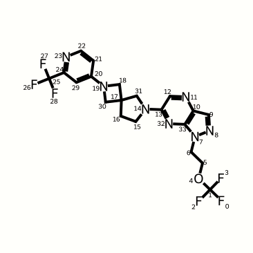 FC(F)(F)OCCn1ncc2ncc(N3CCC4(CN(c5ccnc(C(F)(F)F)c5)C4)C3)nc21